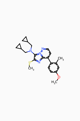 COc1ccc(-c2ccnn3c(N(CC4CC4)CC4CC4)c(SC)nc23)c(C)c1